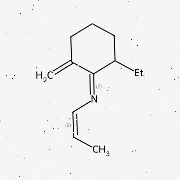 C=C1CCCC(CC)/C1=N/C=C\C